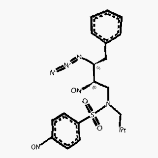 CC(C)CN(C[C@@H](N=O)[C@H](Cc1ccccc1)N=[N+]=[N-])S(=O)(=O)c1ccc(N=O)cc1